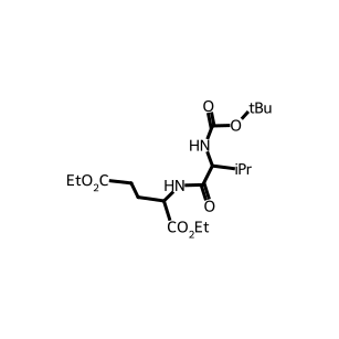 CCOC(=O)CCC(NC(=O)C(NC(=O)OC(C)(C)C)C(C)C)C(=O)OCC